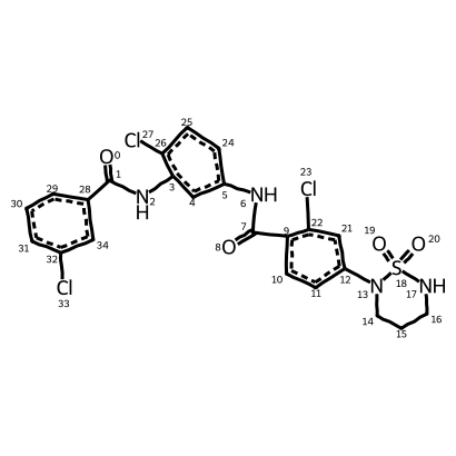 O=C(Nc1cc(NC(=O)c2ccc(N3CCCNS3(=O)=O)cc2Cl)ccc1Cl)c1cccc(Cl)c1